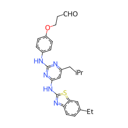 CCc1ccc2nc(Nc3cc(CC(C)C)nc(Nc4ccc(OCCC=O)cc4)n3)sc2c1